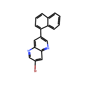 Brc1cnc2cc(-c3cccc4ccccc34)cnc2c1